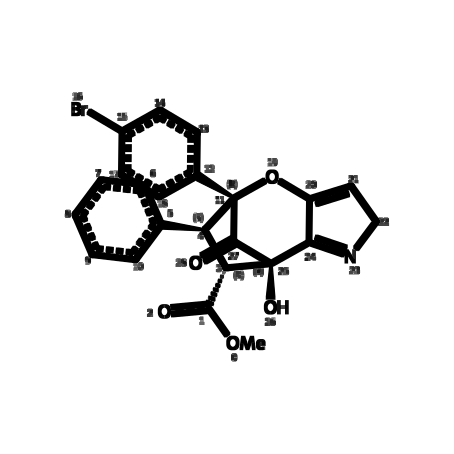 COC(=O)[C@@H]1[C@@H](c2ccccc2)[C@]2(c3ccc(Br)cc3)OC3=CCN=C3[C@@]1(O)C2=O